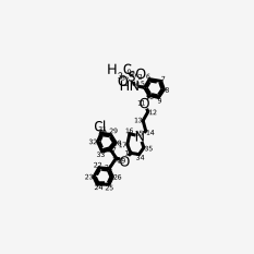 CS(=O)(=O)Nc1ccccc1OCCCN1CCC(OC(c2ccccc2)c2ccc(Cl)cc2)CC1